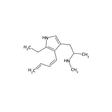 C=C/C=C\c1c(CC(C)NC)c[nH]c1CC